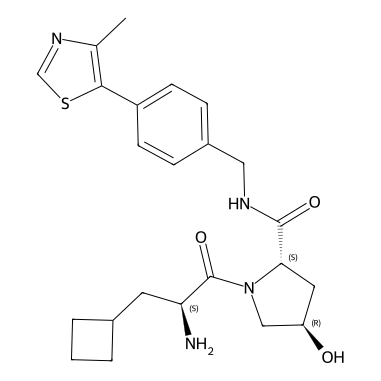 Cc1ncsc1-c1ccc(CNC(=O)[C@@H]2C[C@@H](O)CN2C(=O)[C@@H](N)CC2CCC2)cc1